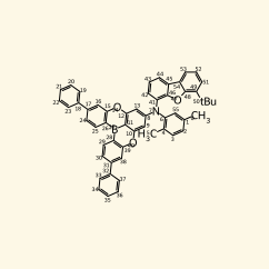 Cc1ccc(C)c(N(c2cc3c4c(c2)Oc2cc(-c5ccccc5)ccc2B4c2ccc(-c4ccccc4)cc2O3)c2cccc3c2oc2c(C(C)(C)C)cccc23)c1